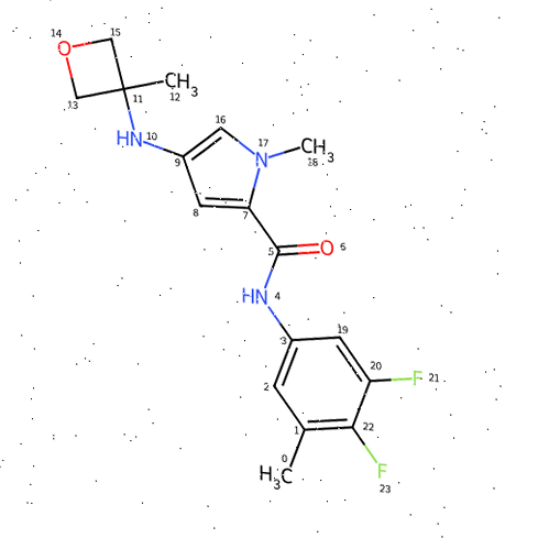 Cc1cc(NC(=O)c2cc(NC3(C)COC3)cn2C)cc(F)c1F